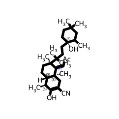 CC(=O)/C=C1/[C@@]2(C)CC(C#N)=C(O)[C@@H](C)[C@@H]2CC[C@@]1(C)C(C)(C)CC[C@@]1(O)CCC(C)(C)CC1C